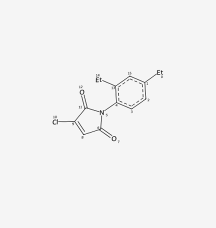 CCc1ccc(N2C(=O)C=C(Cl)C2=O)c(CC)c1